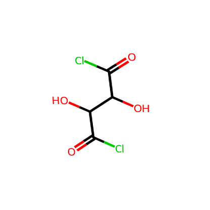 O=C(Cl)C(O)C(O)C(=O)Cl